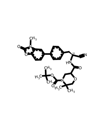 Cn1c(=O)oc2ccc(-c3ccc(C[C@@H](C#N)NC(=O)C4CN(C(=O)OC(C)(C)C)C(C)(C)CO4)cc3)cc21